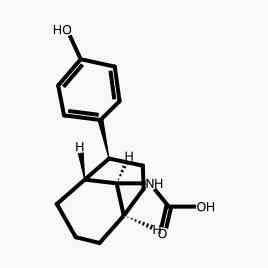 O=C(O)N[C@H]1[C@@H]2CCC[C@@H]1[C@@H](c1ccc(O)cc1)CC2